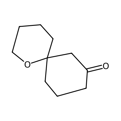 O=C1CCCC2(CCCCO2)C1